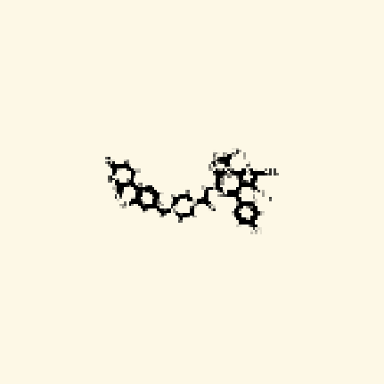 Cc1sc2c(c1C)C(c1ccc(Cl)cc1)=N[C@@H](CC(=O)N1CCN(Cc3ccc(C4CCC(=O)NC4=O)c(F)c3)CC1)c1nnc(C)n1-2